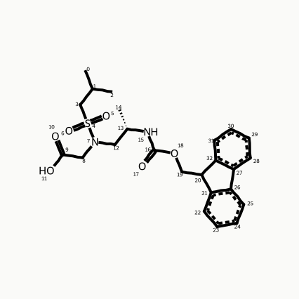 CC(C)CS(=O)(=O)N(CC(=O)O)C[C@H](C)NC(=O)OCC1c2ccccc2-c2ccccc21